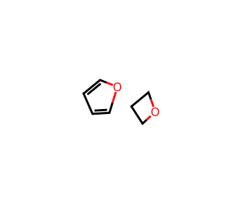 C1COC1.c1ccoc1